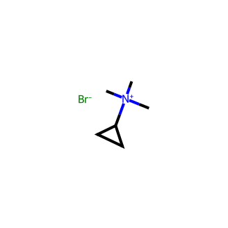 C[N+](C)(C)C1CC1.[Br-]